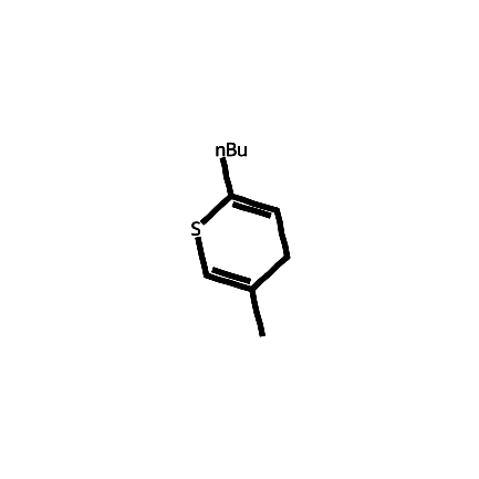 CCCCC1=CCC(C)=CS1